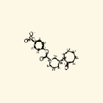 O=C(Oc1ccc([N+](=O)[O-])cc1)N1CCCC(N2CCCCCC2=O)C1